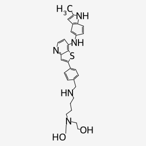 Cc1cc2cc(Nc3ccnc4cc(-c5ccc(CNCCCCN(CCO)CCO)cc5)sc34)ccc2[nH]1